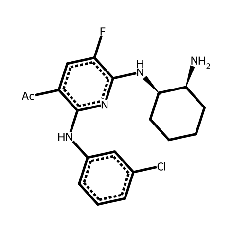 CC(=O)c1cc(F)c(N[C@@H]2CCCC[C@@H]2N)nc1Nc1cccc(Cl)c1